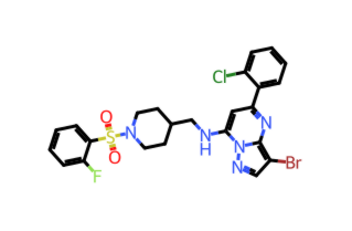 O=S(=O)(c1ccccc1F)N1CCC(CNc2cc(-c3ccccc3Cl)nc3c(Br)cnn23)CC1